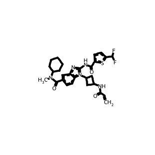 C=CC(=O)NC1CC(n2c(NC(=O)c3ccc(C(F)F)s3)nc3cc(C(=O)N(C)C4CCCCC4)ccc32)C1